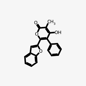 Cc1c(O)c(-c2ccccc2)c(-c2cc3ccccc3o2)oc1=O